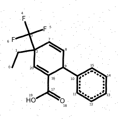 CCC1(C(F)(F)F)C=CC(c2ccccc2)C(C(=O)O)=C1